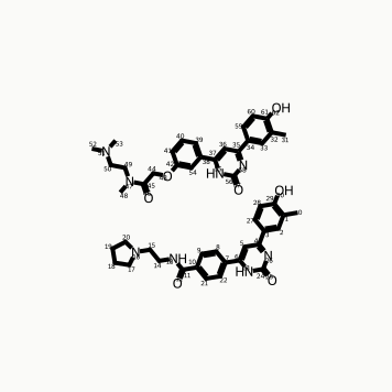 Cc1cc(-c2cc(-c3ccc(C(=O)NCCN4CCCC4)cc3)[nH]c(=O)n2)ccc1O.Cc1cc(-c2cc(-c3cccc(OCC(=O)N(C)CCN(C)C)c3)[nH]c(=O)n2)ccc1O